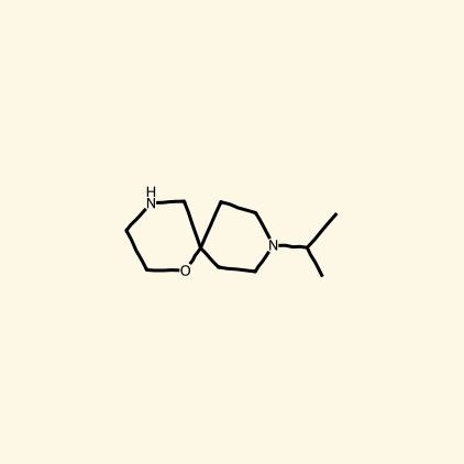 CC(C)N1CCC2(CC1)CNCCO2